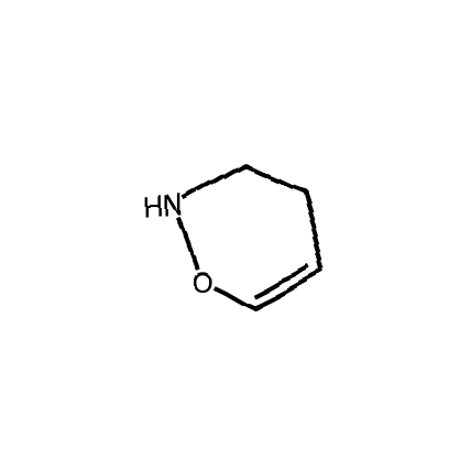 C1=CONCC1